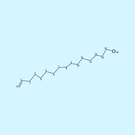 C=CCCCCCCCCCCCCCC[O]